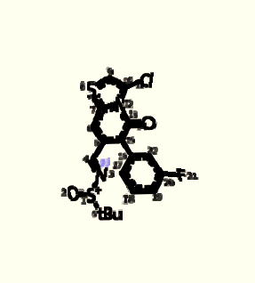 CC(C)(C)[S+]([O-])/N=C/c1cc2scc(Cl)n2c(=O)c1-c1cccc(F)c1